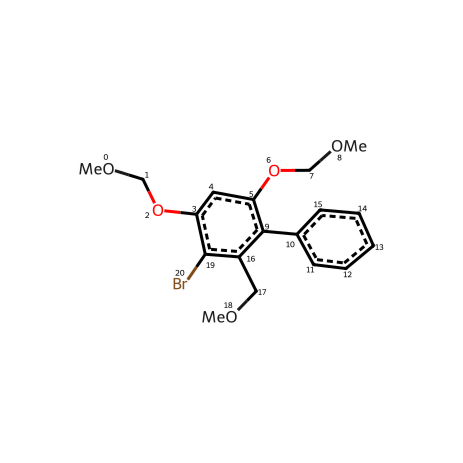 COCOc1cc(OCOC)c(-c2ccccc2)c(COC)c1Br